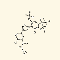 O=C(NC1CC1)c1cc(-c2cnn(-c3c(Cl)cc(C(F)(C(F)(F)F)C(F)(F)F)cc3OC(F)(F)F)c2)ccc1Cl